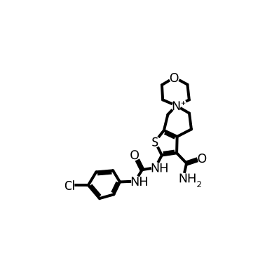 NC(=O)c1c(NC(=O)Nc2ccc(Cl)cc2)sc2c1CC[N+]1(CCOCC1)C2